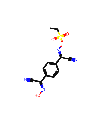 CCS(=O)(=O)ON=C(C#N)c1ccc(C(C#N)=NO)cc1